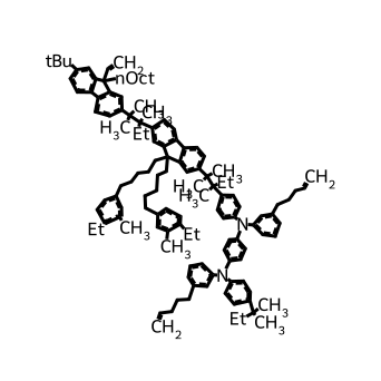 C=CCCCc1cccc(N(c2ccc(N(c3ccc(C(C)(CC)C(C)(C)c4ccc5c(c4)C(CCCCCc4ccc(CC)c(C)c4)(CCCCCc4ccc(CC)c(C)c4)c4cc(C(C)(CC)C(C)(C)c6ccc7c(c6)C(C=C)(CCCCCCCC)c6cc(C(C)(C)C)ccc6-7)ccc4-5)cc3)c3cccc(CCCC=C)c3)cc2)c2ccc(C(C)(C)CC)cc2)c1